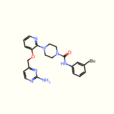 CCC(C)c1cccc(NC(=O)N2CCN(c3ncccc3OCc3ccnc(N)n3)CC2)c1